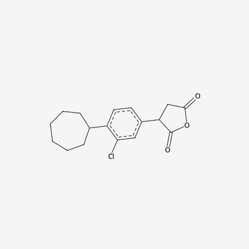 O=C1CC(c2ccc(C3CCCCCC3)c(Cl)c2)C(=O)O1